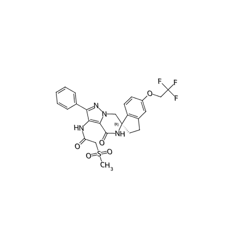 CS(=O)(=O)CC(=O)Nc1c(-c2ccccc2)nn2c1C(=O)N[C@@]1(CCc3cc(OCC(F)(F)F)ccc31)C2